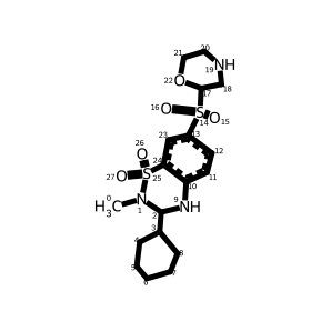 CN1C(C2CCCCC2)Nc2ccc(S(=O)(=O)C3CNCCO3)cc2S1(=O)=O